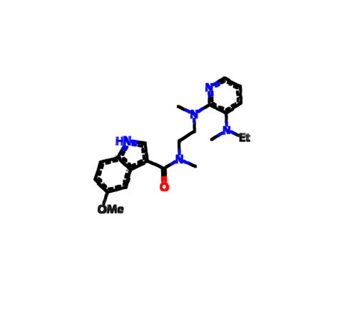 CCN(C)c1cccnc1N(C)CCN(C)C(=O)c1c[nH]c2ccc(OC)cc12